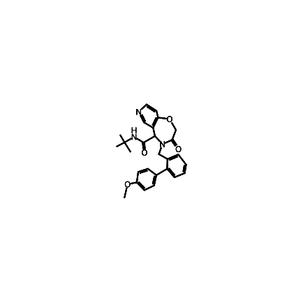 COc1ccc(-c2ccccc2CN2C(=O)COc3ccncc3C2C(=O)NC(C)(C)C)cc1